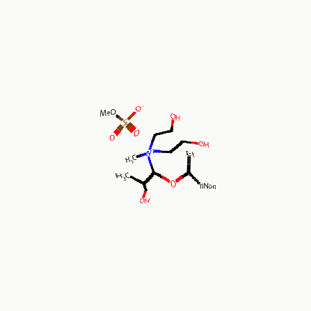 CCCCCCCCCC(CC)OC(C(C)O)[N+](C)(CCO)CCO.COS(=O)(=O)[O-]